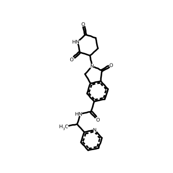 CC(NC(=O)c1ccc2c(c1)CN(C1CCC(=O)NC1=O)C2=O)c1ccccn1